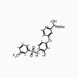 CNC(O)c1cc(Oc2ccc(NS(=O)(=O)c3cccc(C(F)(F)F)c3)c(F)c2)ccn1